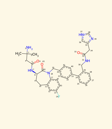 CC(C)(N)CC(=O)N[C@@H]1CCc2cc(F)ccc2N(Cc2ccc(-c3ccccc3CNC(=O)Cc3c[nH]cn3)cc2)C1=O